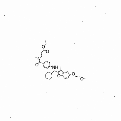 CCOC(=O)CCN(C)C(=O)c1ccc(NC(c2oc3ccc(OCCOC)cc3c2C)C2CCCCC2)cc1